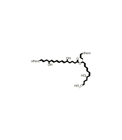 CCCCCC=CCC(O)C=CC=CC=CC(O)CCCC(=O)O[C@@H](/C=C/C=C/C=C\[C@@H](O)CCCC(=O)O)C/C=C\CCCCC